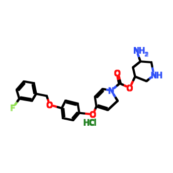 Cl.NC1CNCC(OC(=O)N2C=CC(Oc3ccc(OCc4cccc(F)c4)cc3)=CC2)C1